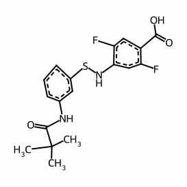 CC(C)(C)C(=O)Nc1cccc(SNc2cc(F)c(C(=O)O)cc2F)c1